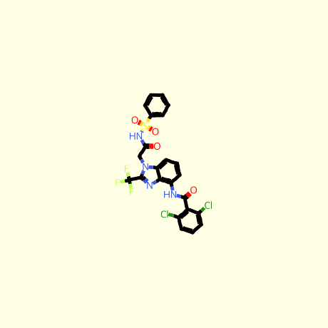 O=C(Cn1c(C(F)(F)F)nc2c(NC(=O)c3c(Cl)cccc3Cl)cccc21)NS(=O)(=O)c1ccccc1